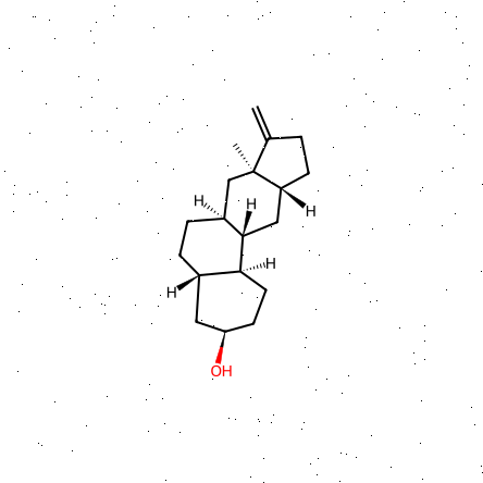 C=C1CC[C@@H]2C[C@H]3[C@@H](CC[C@H]4C[C@H](O)CC[C@@H]43)C[C@@]12C